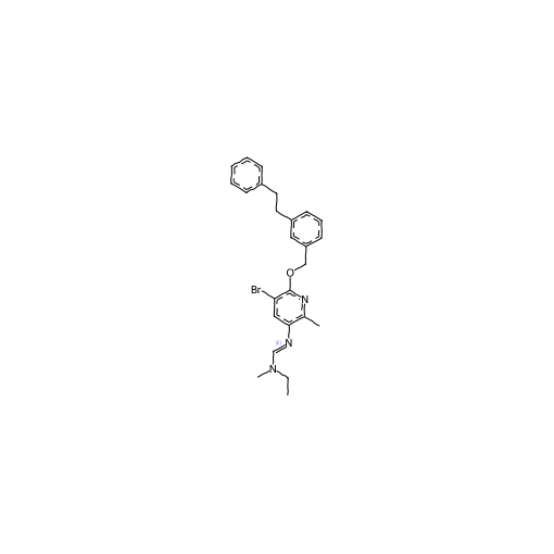 CCN(C)/C=N/c1cc(Br)c(OCc2cccc(CCc3ccccc3)c2)nc1C